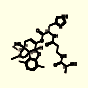 Cc1ccc(C)c2c1O[C@H]1C(OC(=O)[C@H](Cc3c[nH]cn3)NC(=O)CCNC(=O)[C@H](C)O)=CC[C@@]3(O)[C@@H](C)N(C)CC[C@]213